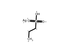 CCCS(=O)(=O)O.[Ag]